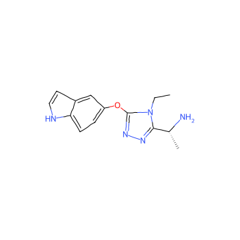 CCn1c(Oc2ccc3[nH]ccc3c2)nnc1[C@@H](C)N